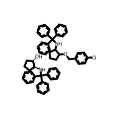 Clc1ccc(COC2CCCC2NC(c2ccccc2)(c2ccccc2)c2ccccc2)cc1.O[C@H]1CCC[C@@H]1NC(c1ccccc1)(c1ccccc1)c1ccccc1